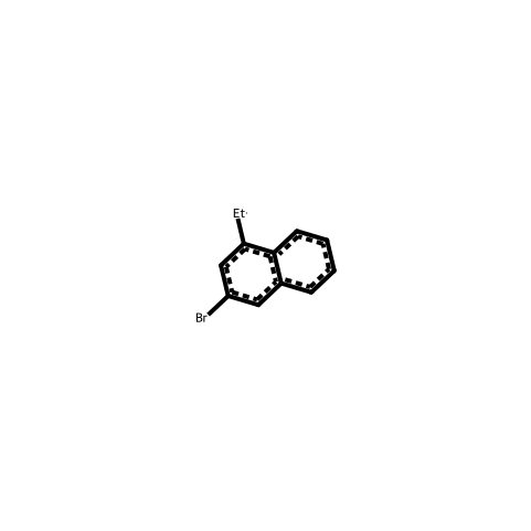 C[CH]c1cc(Br)cc2ccccc12